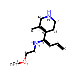 C=C/C=C(/NCCOCCC)C1=C(C)CNCC1